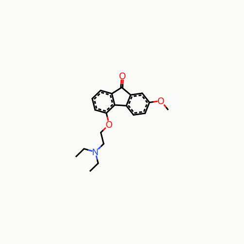 CCN(CC)CCOc1cccc2c1-c1ccc(OC)cc1C2=O